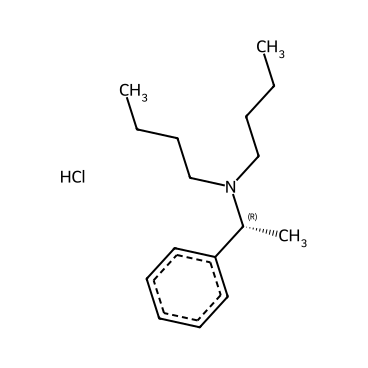 CCCCN(CCCC)[C@H](C)c1ccccc1.Cl